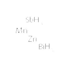 [BiH3].[Mn].[SbH3].[Zn]